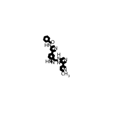 Cc1ccc(-c2cncc3[nH]c(-c4n[nH]c5ccc(-c6cncc(NC(=O)C7CCCCC7)c6)cc45)nc23)cn1